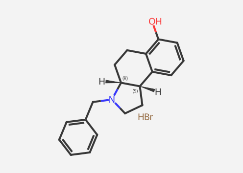 Br.Oc1cccc2c1CC[C@@H]1[C@H]2CCN1Cc1ccccc1